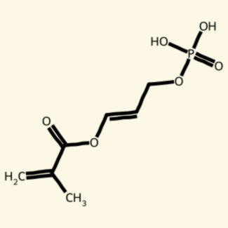 C=C(C)C(=O)OC=CCOP(=O)(O)O